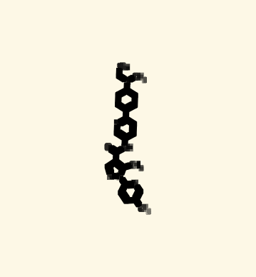 Cc1c(C(=O)Nc2ccc(C3=CCC(N(C)CC(C)(C)C)CC3)nc2)cnn1-c1ccc(C(F)(F)F)cn1